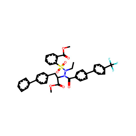 CCN(N(C(=O)c1ccc(-c2ccc(C(F)(F)F)cc2)cc1)C(Cc1ccc(-c2ccccc2)cc1)C(=O)OC)S(=O)(=O)c1ccccc1C(=O)OC